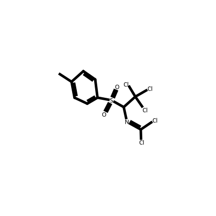 Cc1ccc(S(=O)(=O)C(N=C(Cl)Cl)C(Cl)(Cl)Cl)cc1